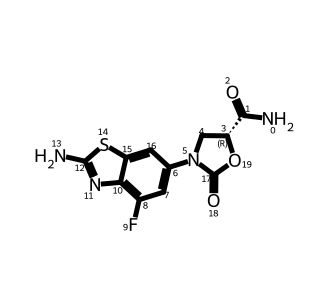 NC(=O)[C@H]1CN(c2cc(F)c3nc(N)sc3c2)C(=O)O1